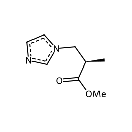 COC(=O)[C@H](C)Cn1ccnc1